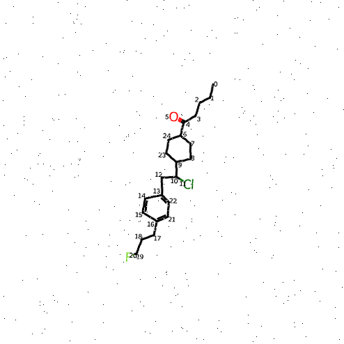 CCCCC(=O)C1CCC(C(Cl)Cc2ccc(CCCF)cc2)CC1